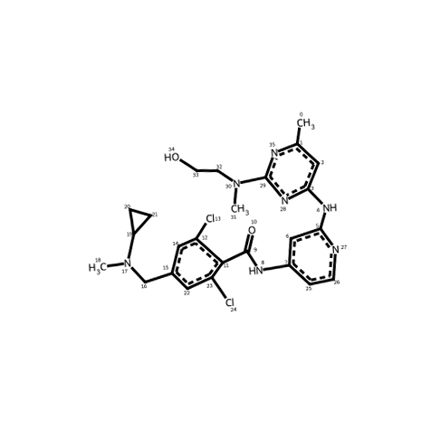 Cc1cc(Nc2cc(NC(=O)c3c(Cl)cc(CN(C)C4CC4)cc3Cl)ccn2)nc(N(C)CCO)n1